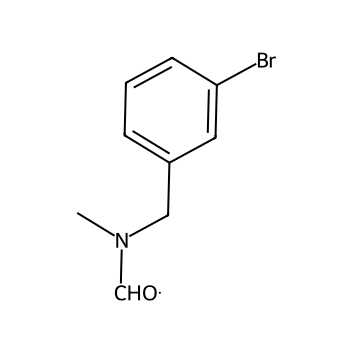 CN([C]=O)Cc1cccc(Br)c1